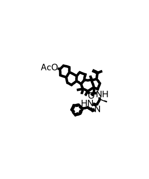 C=C(C)C1CCC2(C(=O)N[C@@H](C)c3ncc(-c4ccccc4)[nH]3)C1(C)C1CCC3C4CCC(OC(C)=O)CC4CCC3C1C(C)(C)C2(C)C